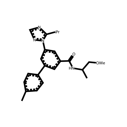 COCC(C)NC(=O)c1cc(-c2ccc(C)cc2)cc(-n2ncnc2C(C)C)c1